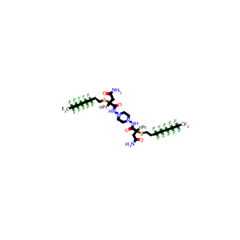 CCCC(CC(N)=O)(SCCC(F)(F)C(F)(F)C(F)(F)C(F)(F)C(F)(F)C(F)(F)F)C(=O)NN1CCN(NC(=O)C(CCC)(CC(N)=O)SCCC(F)(F)C(F)(F)C(F)(F)C(F)(F)C(F)(F)C(F)(F)F)CC1